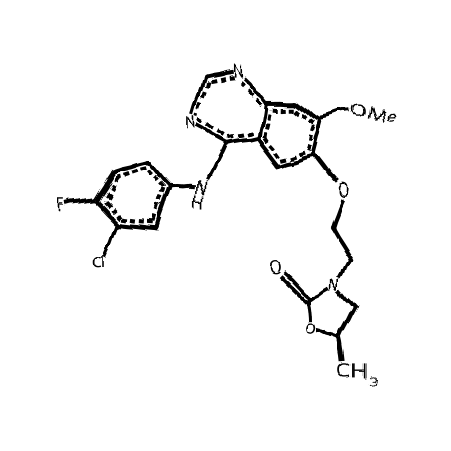 COc1cc2ncnc(Nc3ccc(F)c(Cl)c3)c2cc1OCCN1CC(C)OC1=O